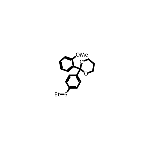 CCSc1ccc(C2(c3ccccc3OC)OCCCO2)cc1